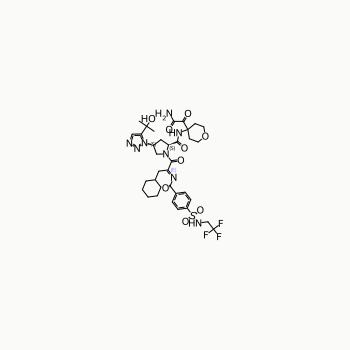 CC(C)(O)c1cnnn1[C@H]1C[C@@H](C(=O)NC2(C(=O)C(N)=O)CCOCC2)N(C(=O)/C(CC2CCCCC2)=N/C(=O)c2ccc(S(=O)(=O)NCC(F)(F)F)cc2)C1